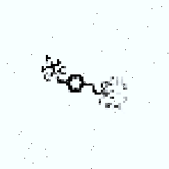 CO[Si](C)(CCc1ccc(CS(=O)(=O)C(F)(F)F)cc1)OC